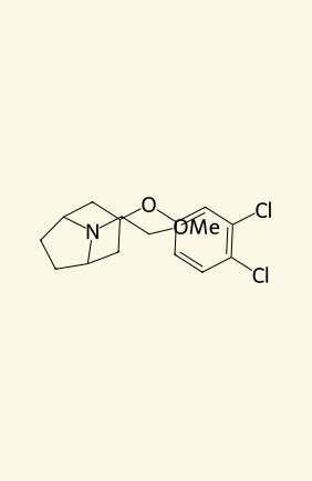 COCCN1C2CCC1CC(Oc1ccc(Cl)c(Cl)c1)C2